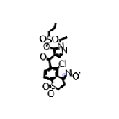 CCCS(=O)(=O)Oc1c(C(=O)c2ccc3c(c2Cl)/C(=N/OC)CCS3(=O)=O)cnn1CC